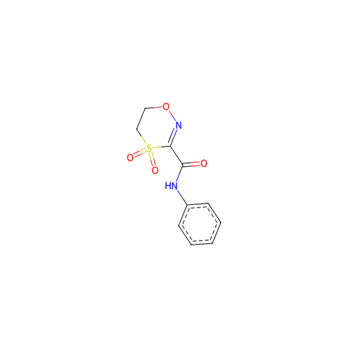 O=C(Nc1ccccc1)C1=NOCCS1(=O)=O